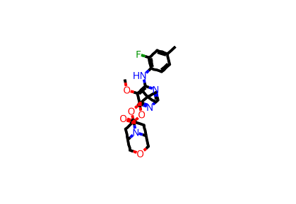 COc1c(Nc2ccc(C)cc2F)ncnc1OC1CC2COCC(C1)N2C(=O)OCC(C)(C)C